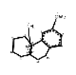 COc1ccc2c(c1)C13CCCCC1(CCCN3C)CC2